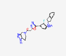 O=C(Cc1nnc(-c2ccc(NC3Cc4ccccc4C3)c(F)c2)o1)N1CCc2[nH]nnc2C1